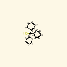 SC(C1=CC=CCC1)(C1=CC=CCC1)c1ccccc1